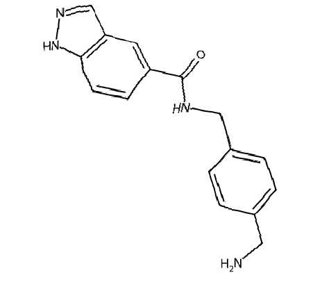 NCc1ccc(CNC(=O)c2ccc3[nH]ncc3c2)cc1